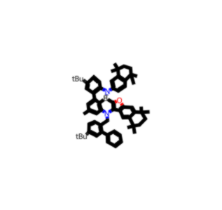 Cc1cc2c3c(c1)N(Cc1ccc(C(C)(C)C)cc1-c1ccccc1)c1c(oc4cc5c(cc14)C(C)(C)CCC5(C)C)B3N(c1ccc3c(c1)C(C)(C)CCC3(C)C)c1ccc(C(C)(C)C)cc1-2